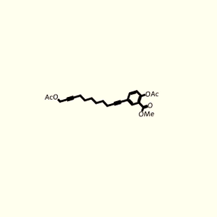 COC(=O)c1cc(C#CCCCCCCC#CCOC(C)=O)ccc1OC(C)=O